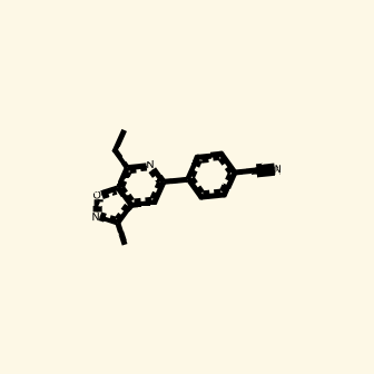 CCc1nc(-c2ccc(C#N)cc2)cc2c(C)noc12